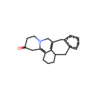 O=C1CCN2CC3=C4C(=C2C1)CCCC4Cc1ccccc1C3